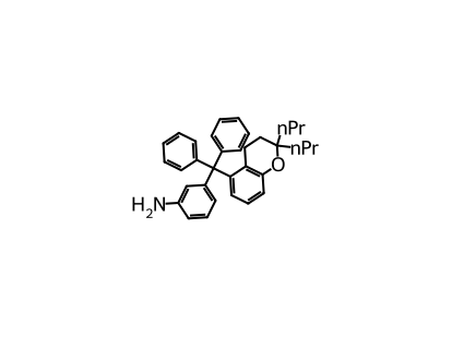 CCCC1(CCC)CCc2c(cccc2C(c2ccccc2)(c2ccccc2)c2cccc(N)c2)O1